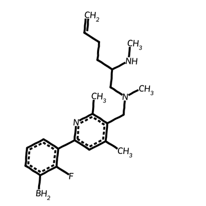 Bc1cccc(-c2cc(C)c(CN(C)CC(CCC=C)NC)c(C)n2)c1F